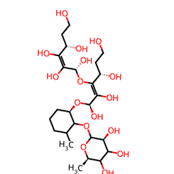 CC1CCC[C@@H](O[C@H](O)/C(O)=C(\O[C@@H](O)/C(O)=C(/O)[C@@H](O)CCO)[C@@H](O)CCO)C1OC1O[C@H](C)C(O)C(O)[C@@H]1O